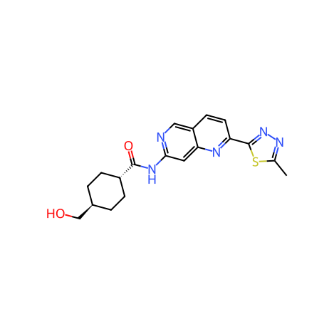 Cc1nnc(-c2ccc3cnc(NC(=O)[C@H]4CC[C@H](CO)CC4)cc3n2)s1